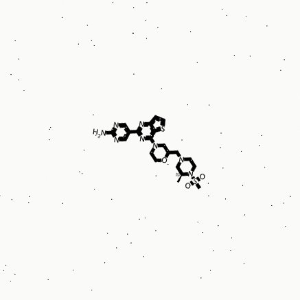 C[C@H]1CN(CC2CN(c3nc(-c4cnc(N)nc4)nc4ccsc34)CCO2)CCN1S(C)(=O)=O